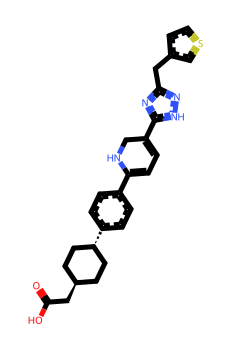 O=C(O)C[C@H]1CC[C@H](c2ccc(C3=CC=C(c4nc(Cc5ccsc5)n[nH]4)CN3)cc2)CC1